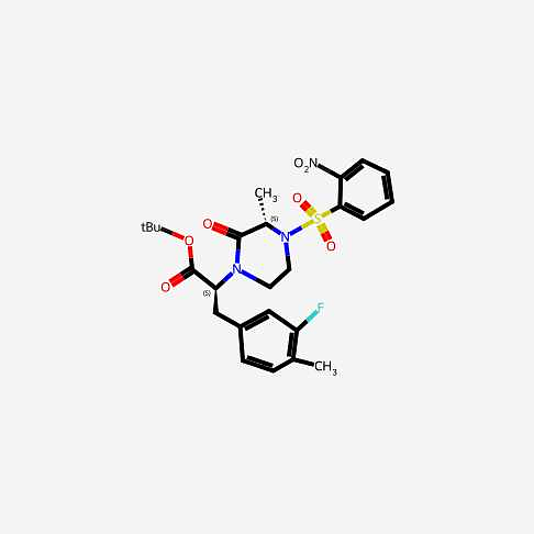 Cc1ccc(C[C@@H](C(=O)OC(C)(C)C)N2CCN(S(=O)(=O)c3ccccc3[N+](=O)[O-])[C@@H](C)C2=O)cc1F